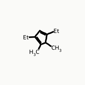 CCC1=CC(CC)=C(C)[C]1C